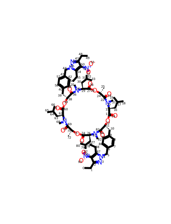 CCc1nn(Cc2ccc(C[C@H]3OC(=O)[C@H](CC(C)C)N(C)C(=O)[C@@H](C)OC(=O)[C@H](CC(C)C)N(C)C(=O)[C@@H](Cc4ccc(Cn5nc(CC)c([N+](=O)[O-])c5CC)cc4)OC(=O)[C@H](CC(C)C)N(C)C(=O)[C@@H](C)OC(=O)[C@H](CC(C)C)N(C)C3=O)cc2)c(CC)c1[N+](=O)[O-]